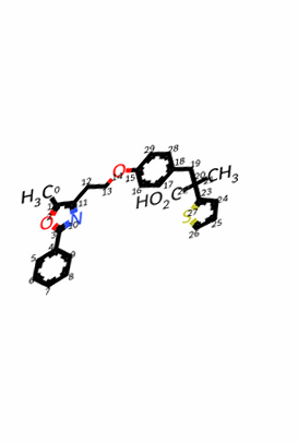 Cc1oc(-c2ccccc2)nc1CCOc1ccc(CC(C)(C(=O)O)c2cccs2)cc1